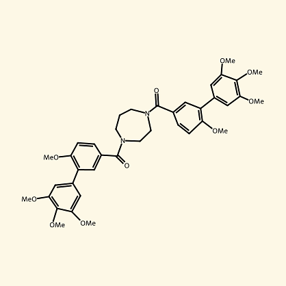 COc1ccc(C(=O)N2CCCN(C(=O)c3ccc(OC)c(-c4cc(OC)c(OC)c(OC)c4)c3)CC2)cc1-c1cc(OC)c(OC)c(OC)c1